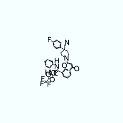 CC(Nc1ccccc1C(=O)OC(=O)C(F)(F)F)c1cccc2c(=O)cc(N3CCC(C#N)(c4ccc(F)cc4)CC3)oc12